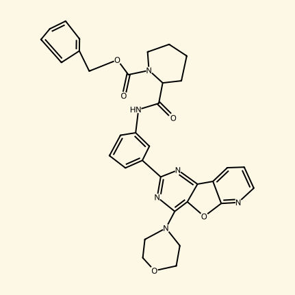 O=C(Nc1cccc(-c2nc(N3CCOCC3)c3oc4ncccc4c3n2)c1)C1CCCCN1C(=O)OCc1ccccc1